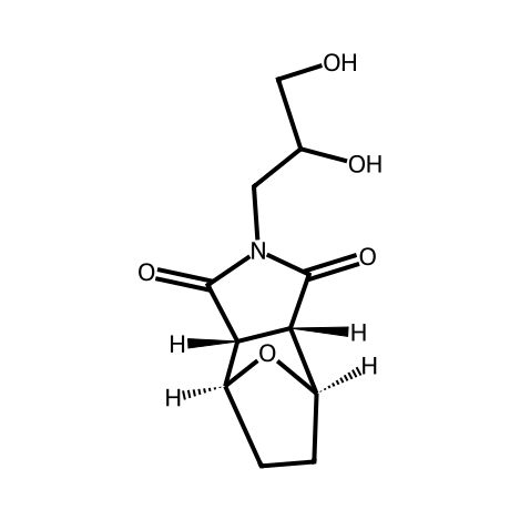 O=C1[C@@H]2[C@H](C(=O)N1CC(O)CO)[C@H]1CC[C@@H]2O1